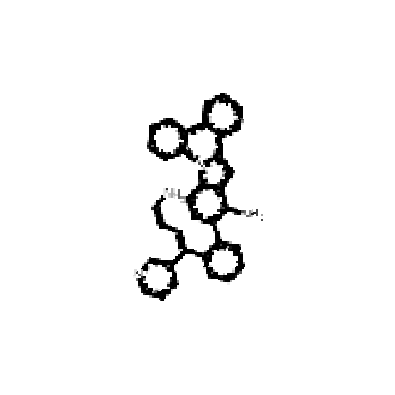 N/C=C\C=C(c1cccnc1)c1ccccc1-c1ccc2c(cc3c4ccccc4c4ccccc4n23)c1N